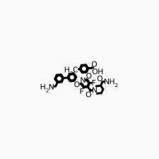 Cc1ccc(C(=O)O)c(Oc2nc(Oc3cccc(-c4cccc(CN)c4)c3)c(F)c(C(=O)N3CCCC(C(N)=O)C3)c2F)c1